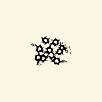 CC(C)(C)c1ccc(-c2cc(C(C)(C)C)ccc2N2c3cc(C(C)(C)C)ccc3B3c4sc5ccc(C(C)(C)C)cc5c4N(c4ccc5c(c4)C(C)(C)CC5(C)C)c4cc(N(c5ccccc5)c5ccccc5)cc2c43)cc1